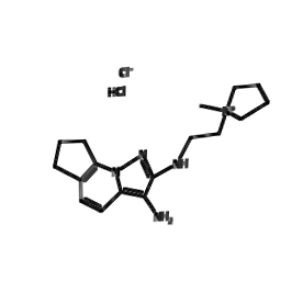 C[N+]1(CCNc2nn3c4c(ccc3c2N)CCC4)CCCC1.Cl.[Cl-]